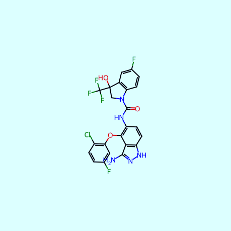 Nc1n[nH]c2ccc(NC(=O)N3CC(O)(C(F)(F)F)c4cc(F)ccc43)c(Oc3cc(F)ccc3Cl)c12